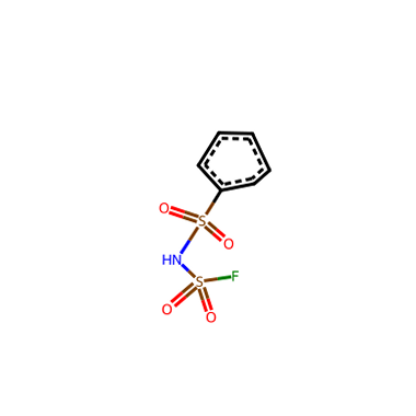 O=S(=O)(F)NS(=O)(=O)c1ccccc1